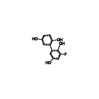 Oc1ccc(O)c(-c2cc(O)cc(F)c2O)c1